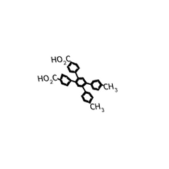 Cc1ccc(-c2cc(-c3ccc(C(=O)O)cc3)c(-c3ccc(C(=O)O)cc3)cc2-c2ccc(C)cc2)cc1